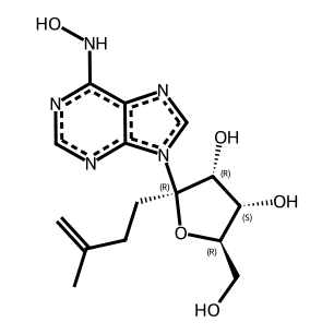 C=C(C)CC[C@@]1(n2cnc3c(NO)ncnc32)O[C@H](CO)[C@@H](O)[C@H]1O